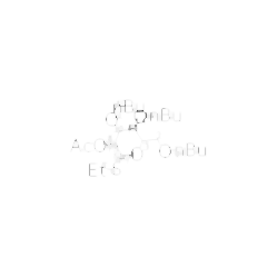 CCCCOCC1O[C@H](SCC)[C@H](OC(C)=O)C(OCCCC)[C@@H]1OCCCC